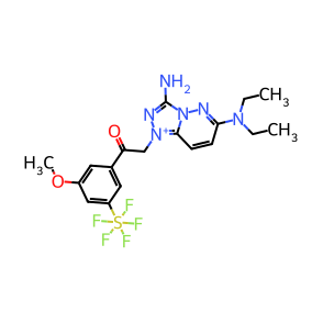 CCN(CC)c1ccc2n(n1)c(N)n[n+]2CC(=O)c1cc(OC)cc(S(F)(F)(F)(F)F)c1